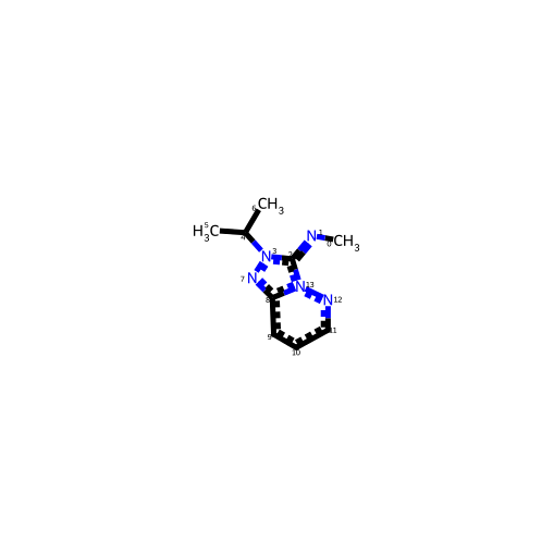 C/N=c1/n(C(C)C)nc2cccnn12